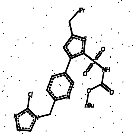 CCCCOC(=O)NS(=O)(=O)c1sc(CC(C)C)cc1-c1ccc(Cn2ccnc2Cl)nc1